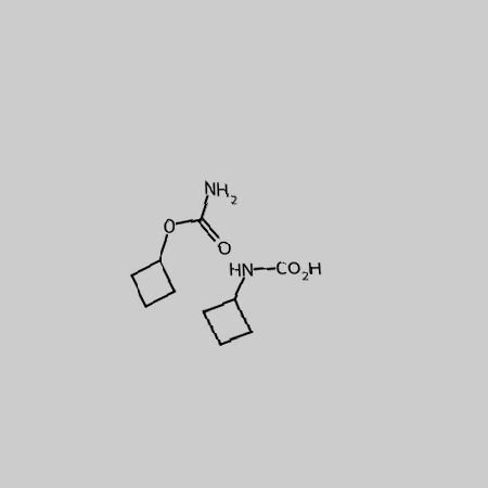 NC(=O)OC1CCC1.O=C(O)NC1CCC1